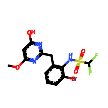 COc1cc(O)nc(Cc2cccc(Br)c2NS(=O)(=O)C(F)F)n1